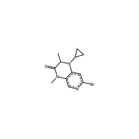 CC1C(=O)N(C)c2cnc(Br)cc2N1C1CC1